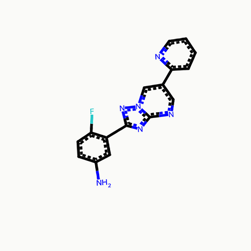 Nc1ccc(F)c(-c2nc3ncc(-c4ccccn4)cn3n2)c1